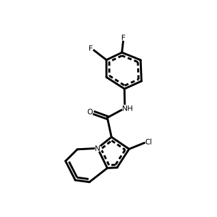 O=C(Nc1ccc(F)c(F)c1)c1c(Cl)cc2n1CC=C=C2